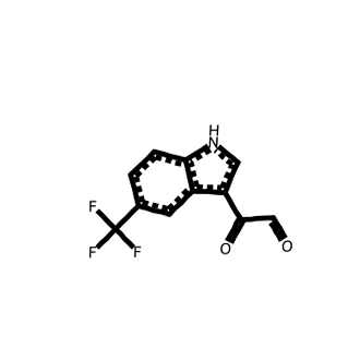 O=CC(=O)c1c[nH]c2ccc(C(F)(F)F)cc12